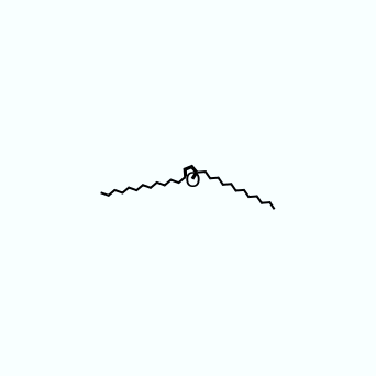 CCCCCCCCCCCCc1ccc(CCCCCCCCCCCC)o1